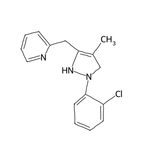 CC1=C(Cc2ccccn2)NN(c2ccccc2Cl)C1